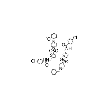 COc1ccccc1N1CCN(S(=O)(=O)c2ccc(CNC(=O)c3ccc(Cl)cc3)s2)CC1.O=C(NCc1ccc(S(=O)(=O)N2CCN(Cc3ccccc3)CC2)s1)c1ccc(Cl)cc1